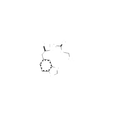 O=C(Cc1ccc2c(c1)OCO2)ONC(=O)OCC(Cl)(Cl)Cl